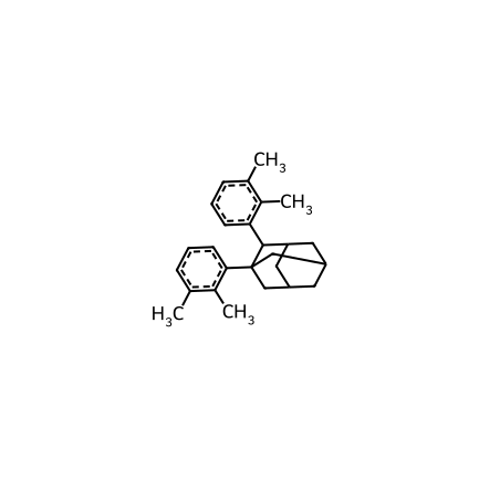 Cc1cccc(C2C3CC4CC(C3)CC2(c2cccc(C)c2C)C4)c1C